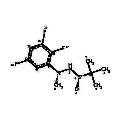 C[C@@H](N[S@+]([O-])C(C)(C)C)c1cc(F)cc(F)c1F